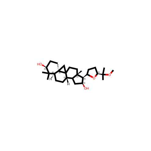 COC(C)(C)[C@@H]1CCC([C@H]2[C@@H](O)CC3[C@@H]4CC[C@H]5C(C)(C)[C@@H](O)CC[C@@]56CC46CC[C@@]32C)O1